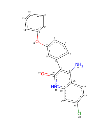 Nc1c(-c2cccc(Oc3ccccc3)c2)c(=O)[nH]c2cc(Cl)ccc12